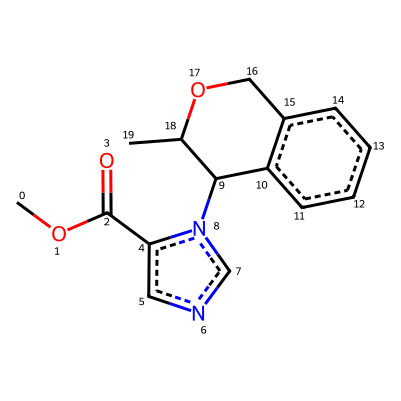 COC(=O)c1cncn1C1c2ccccc2COC1C